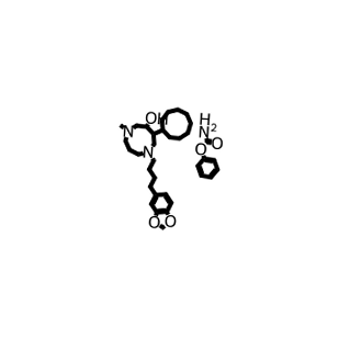 CN1CCCN(CCCCc2ccc3c(c2)OCO3)CC(C2CCCCCCCC2)C(O)C1.NC(=O)Oc1ccccc1